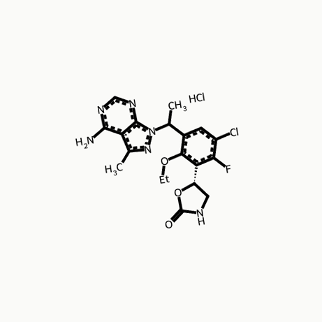 CCOc1c(C(C)n2nc(C)c3c(N)ncnc32)cc(Cl)c(F)c1[C@@H]1CNC(=O)O1.Cl